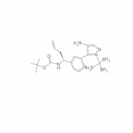 BC(B)(B)n1ncc(N)c1-c1cc([C@H](CC=C)NC(=O)OC(C)(C)C)ccn1